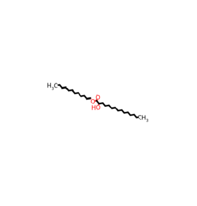 CCCCCCCCCCCCCC(O)C(=O)OCCCCCCCCCCCC